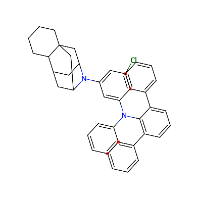 Clc1cc(N(c2ccccc2)c2c(-c3ccccc3)cccc2-c2ccccc2)cc(N2C3CC4CC2CC2(CCCCC42)C3)c1